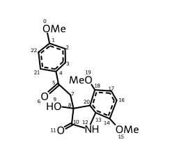 COc1ccc(C(=O)CC2(O)C(=O)Nc3c(OC)ccc(OC)c32)cc1